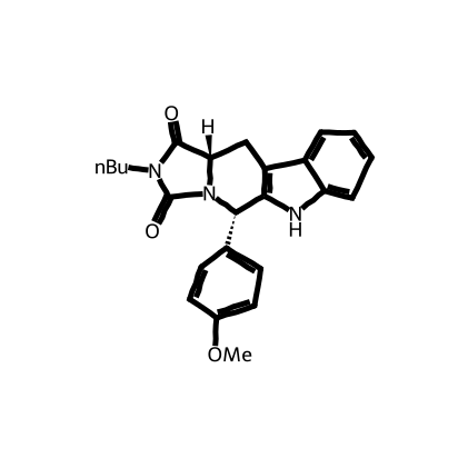 CCCCN1C(=O)[C@@H]2Cc3c([nH]c4ccccc34)[C@H](c3ccc(OC)cc3)N2C1=O